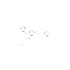 O=C(NOCC1CC1)c1cc(S(=O)(=O)N(CCCO)Cc2ccncc2)c(F)c(F)c1Nc1ccc(I)cc1